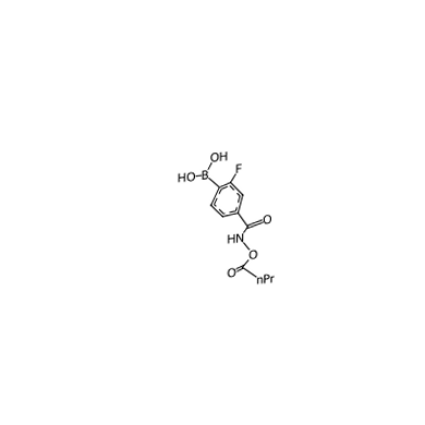 CCCC(=O)ONC(=O)c1ccc(B(O)O)c(F)c1